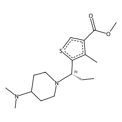 CC[C@@H](c1scc(C(=O)OC)c1C)N1CCC(N(C)C)CC1